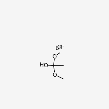 COC(C)(O)OC.[Cl-].[Li+]